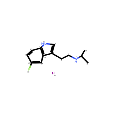 CC(C)NCCc1c[nH]c2ccc(F)cc12.I